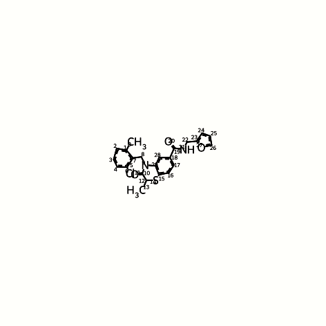 Cc1cccc(Cl)c1CN1C(=O)C(C)Sc2ccc(C(=O)NCc3ccco3)cc21